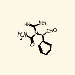 N=C(N)N(C(N)=O)C([C]=O)c1ccccc1